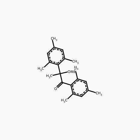 COC(C)(C(=O)c1c(C)cc(C)cc1C)c1c(C)cc(C)cc1C